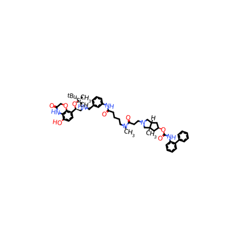 CN(CCCCC(=O)Nc1cccc(CNC[C@H](O[Si](C)(C)C(C)(C)C)c2ccc(O)c3c2OCC(=O)N3)c1)C(=O)CCN1C[C@@H]2C[C@@H](OC(=O)Nc3ccccc3-c3ccccc3)C[C@]2(C)C1